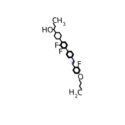 C=CCCCOc1ccc(/C=C/c2ccc(-c3ccc(C4CCC(C(O)CCC)CC4)c(F)c3F)cc2)c(F)c1